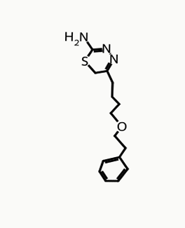 NC1=NN=C(CCCCOCCc2ccccc2)CS1